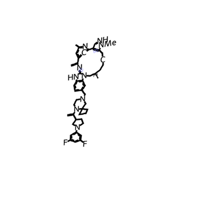 C=C1/N=C2\Nc3ccc(CN4CCN(C(=C)C5CCN(c6cc(F)cc(F)c6)C5)C5(CCC5)C4)cc3N2C[C@H](C)CCCC/C(NC)=C(/C=N)c2cc1cc(C)n2